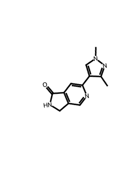 Cc1nn(C)cc1-c1cc2c(cn1)CNC2=O